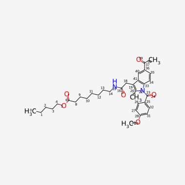 CCCCCOC(=O)CCCCCCCNC(=O)Cc1c(C)n(C(=O)c2ccc(OC)cc2)c2ccc(C(C)=O)cc12